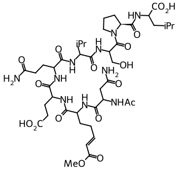 COC(=O)/C=C/CCC(NC(=O)C(CC(N)=O)NC(C)=O)C(=O)NC(CCC(=O)O)C(=O)NC(CCC(N)=O)C(=O)NC(C(=O)NC(CO)C(=O)N1CCC[C@H]1C(=O)NC(CC(C)C)C(=O)O)C(C)C